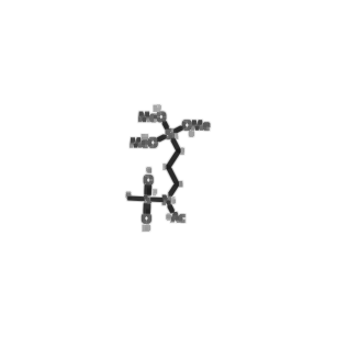 CO[Si](CCCN(C(C)=O)S(C)(=O)=O)(OC)OC